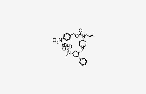 C=CCN(C(=O)OCc1ccc([N+](=O)[O-])cc1)C1CCN(C[C@H]2C[C@@H](N(C)C(=O)OC(C)(C)C)C[C@@H]2c2ccccc2)CC1